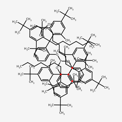 CCCCCCCC(c1ccccc1OP(Oc1ccccc1C(CCCCCCC)(c1c(C)cc(C(C)(C)C)cc1C(C)(C)C)c1c(C)cc(C(C)(C)C)cc1C(C)(C)C)Oc1ccccc1C(CCCCCCC)(c1c(C)cc(C(C)(C)C)cc1C(C)(C)C)c1c(C)cc(C(C)(C)C)cc1C(C)(C)C)(c1c(C)cc(C(C)(C)C)cc1C(C)(C)C)c1c(C)cc(C(C)(C)C)cc1C(C)(C)C